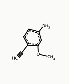 C#Cc1ccc(N)cc1OC